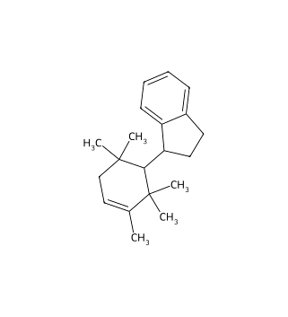 CC1=CCC(C)(C)C(C2CCc3ccccc32)C1(C)C